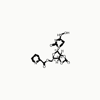 O=C1O[C@@H]2[C@H](O1)[C@@H](COC(=O)c1ccccn1)O[C@H]2n1ccc(NO)nc1=O